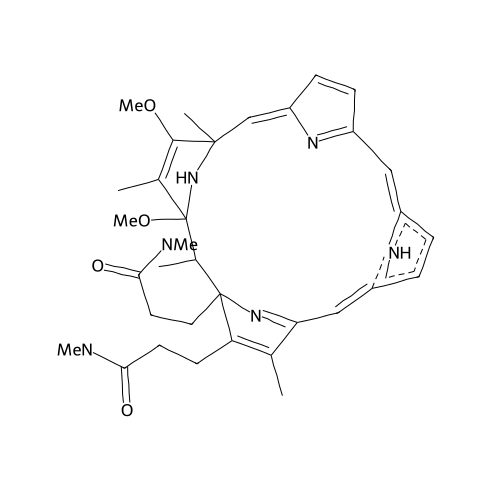 CNC(=O)CCC1=C(C)C2=NC1(CCC(=O)NC)C(C)C1(OC)NC(C)(C=C3C=CC(=N3)C=c3ccc([nH]3)=C2)C(OC)=C1C